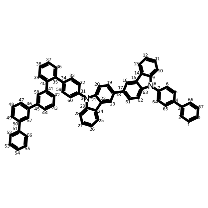 c1ccc(-c2ccc(-n3c4ccccc4c4cc(-c5ccc6c(c5)c5ccccc5n6-c5ccc(-c6ccccc6-c6cccc(-c7cccc(-c8ccccc8)c7)c6)cc5)ccc43)cc2)cc1